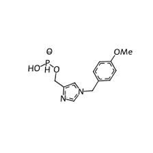 COc1ccc(Cn2cnc(CO[PH](=O)O)c2)cc1